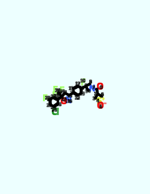 O=C(C1C[S+]([O-])C1)N1CC(F)(c2ccc(C3=NOC(c4cc(F)cc(Cl)c4)(C(F)(F)F)C3)cc2)C1